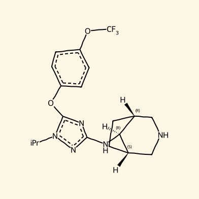 CC(C)n1nc(N[C@H]2[C@@H]3CC[C@H]2CNC3)nc1Oc1ccc(OC(F)(F)F)cc1